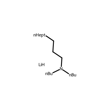 [CH2]CCCCCCCCCN(CCCC)CCCC.[LiH]